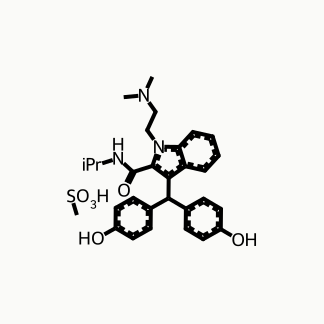 CC(C)NC(=O)c1c(C(c2ccc(O)cc2)c2ccc(O)cc2)c2ccccc2n1CCN(C)C.CS(=O)(=O)O